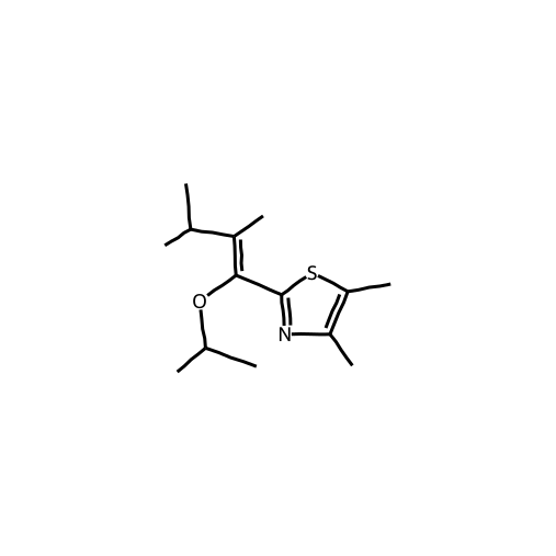 C/C(=C(/OC(C)C)c1nc(C)c(C)s1)C(C)C